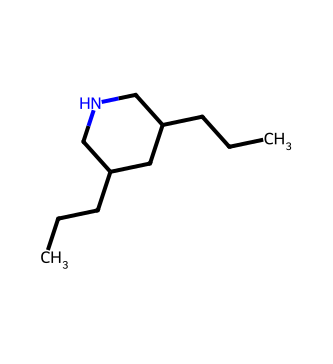 CCCC1CNCC(CCC)C1